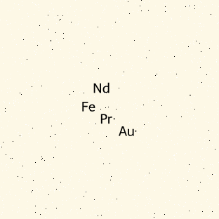 [Au].[Fe].[Nd].[Pr]